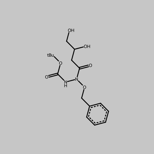 CC(C)(C)OC(=O)NN(OCc1ccccc1)C(=O)CC(O)CO